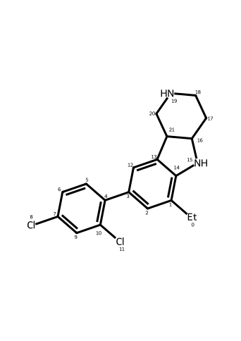 CCc1cc(-c2ccc(Cl)cc2Cl)cc2c1NC1CCNCC21